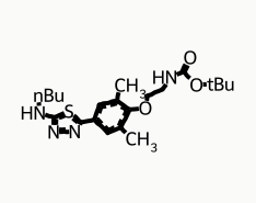 CCCCNc1nnc(-c2cc(C)c(OCCNC(=O)OC(C)(C)C)c(C)c2)s1